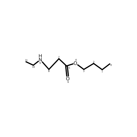 CCCCOC(=O)CCNCC